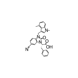 Cc1cccc2c1c(Cn1c(=O)n([C@@H](Cc3ccccc3)C(=O)O)c3cc(C#N)ccc31)cn2C